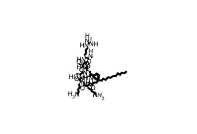 CCCCCCCCCCCCCCCC(=O)N[C@@H](CCCCN)C(=O)N[C@@H](CCCCN)C(=O)N[C@@H](CO)C(=O)N[C@@H](Cc1c[nH]c2ccccc12)C(=O)N[C@@H](CO)C(=O)N[C@@H](CCCCNC(=N)N)C(=O)NC